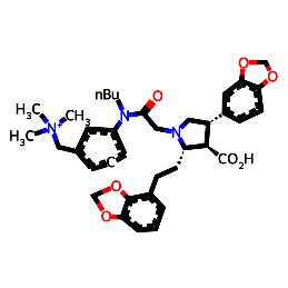 CCCCN(C(=O)CN1C[C@H](c2ccc3c(c2)OCO3)[C@@H](C(=O)O)[C@@H]1CCc1cccc2c1OCO2)c1cccc(C[N+](C)(C)C)c1